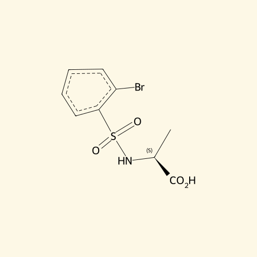 C[C@H](NS(=O)(=O)c1ccccc1Br)C(=O)O